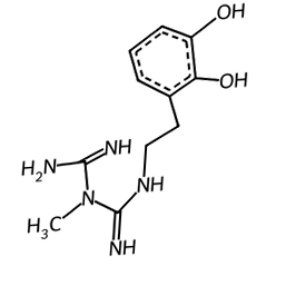 CN(C(=N)N)C(=N)NCCc1cccc(O)c1O